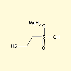 O=S(=O)(O)CCS.[MgH2]